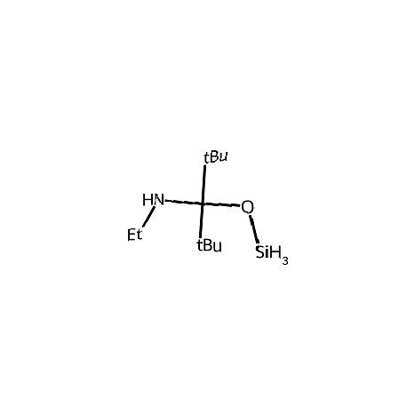 CCNC(O[SiH3])(C(C)(C)C)C(C)(C)C